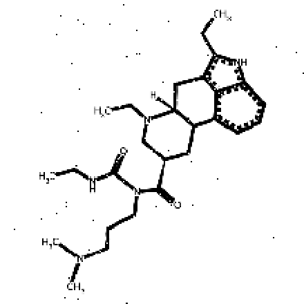 CCNC(=O)N(CCCN(C)C)C(=O)[C@@H]1CC2c3cccc4[nH]c(CC)c(c34)C[C@H]2N(CC)C1